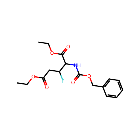 CCOC(=O)CC(F)C(NC(=O)OCc1ccccc1)C(=O)OCC